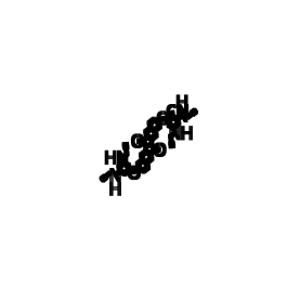 C#CCNc1cc(NCC#C)cc(Oc2ccc3cc4c(cc3c2)C2C(=O)c3cc5ccc(Oc6cc(NCC#C)cc(NCC#C)c6C#N)cc5cc3C2C4=O)c1